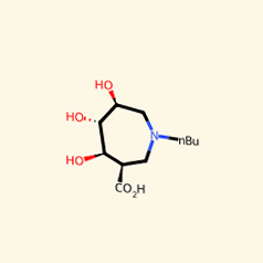 CCCCN1C[C@H](O)[C@@H](O)[C@H](O)[C@H](C(=O)O)C1